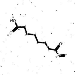 C=NC(=O)CCCCCCC(=O)O